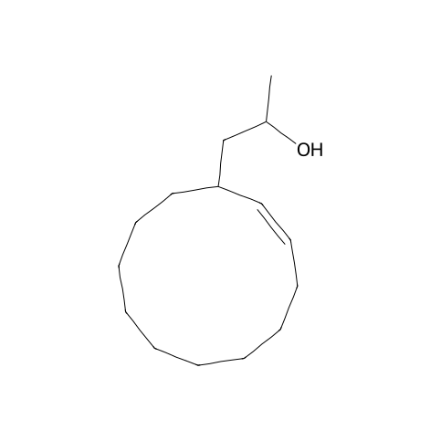 CC(O)CC1C=CCCCCCCCCC1